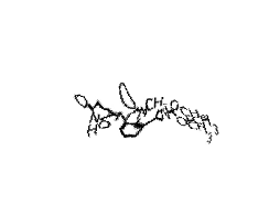 Cn1c(=O)n([C@@H]2CCC(=O)NC2=O)c2cccc(C3CN(C(=O)OC(C)(C)C)C3)c21